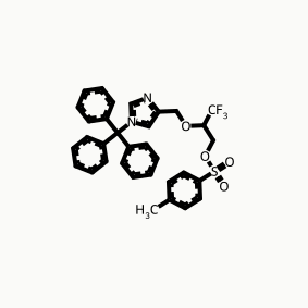 Cc1ccc(S(=O)(=O)OCC(OCc2cn(C(c3ccccc3)(c3ccccc3)c3ccccc3)cn2)C(F)(F)F)cc1